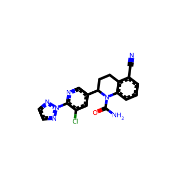 N#Cc1cccc2c1CCC(c1cnc(-n3nccn3)c(Cl)c1)N2C(N)=O